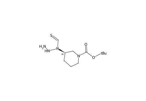 CC(C)(C)OC(=O)N1CCC[C@@H](N(C=S)NN)C1